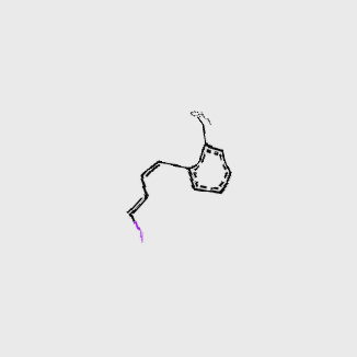 Cc1ccccc1/C=C\C=C\I